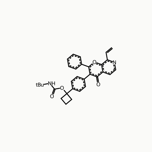 C=Cc1nccc2c(=O)c(-c3ccc(C4(OC(=O)NC(C)(C)C)CCC4)cc3)c(-c3ccccc3)oc12